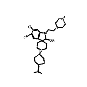 CC(C)C1CCC(N2CCC3(CC2)c2cc(Cl)c(Cl)cc2N(CCN2CCN(C)CC2)C3O)CC1